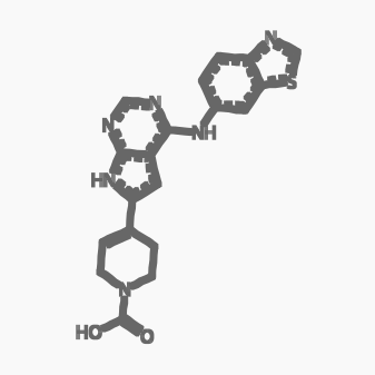 O=C(O)N1CC=C(c2cc3c(Nc4ccc5ncsc5c4)ncnc3[nH]2)CC1